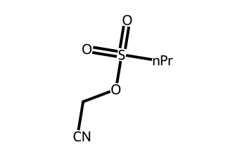 CCCS(=O)(=O)OCC#N